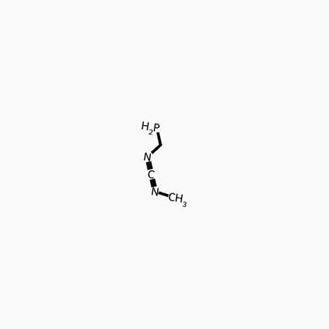 CN=C=NCP